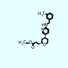 CCOC(=O)CC[C@H]1C[C@@H](c2ccc(NCc3cccc(C)c3)nc2)CCO1